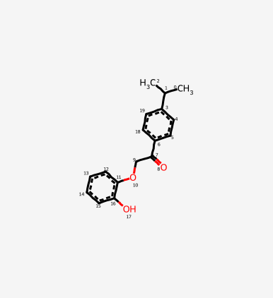 CC(C)c1ccc(C(=O)COc2ccccc2O)cc1